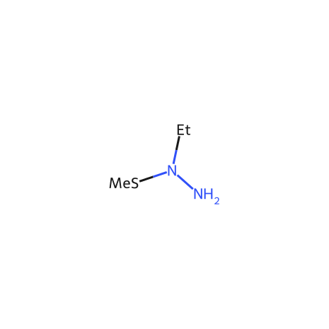 CCN(N)SC